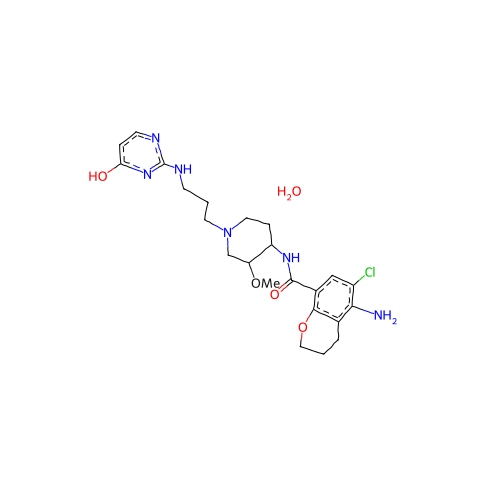 COC1CN(CCCNc2nccc(O)n2)CCC1NC(=O)c1cc(Cl)c(N)c2c1OCCC2.O